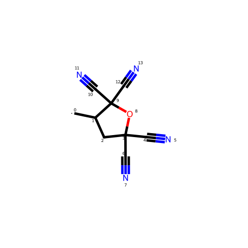 [CH2]C1CC(C#N)(C#N)OC1(C#N)C#N